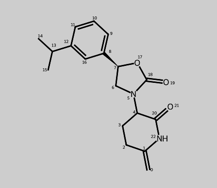 C=C1CCC(N2C[C@@H](c3cccc(C(C)C)c3)OC2=O)C(=O)N1